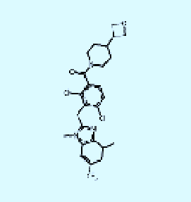 CC1CC(C(F)(F)F)=Cc2c1nc(Cc1c(Cl)ccc(C(=O)N3CCC(C4COC4)CC3)c1Cl)n2C